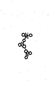 c1ccc(-c2nc(-c3ccc(-n4c5ccccc5c5cc(-c6ccc7c(c6)c6ccccc6n7-c6ccccc6)ccc54)cc3)c3ccccc3n2)cc1